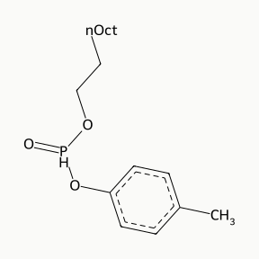 CCCCCCCCCCO[PH](=O)Oc1ccc(C)cc1